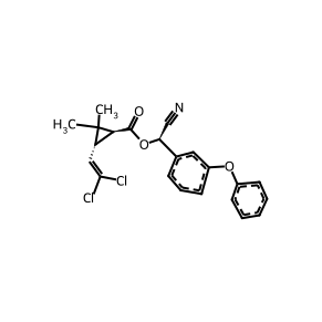 CC1(C)[C@@H](C=C(Cl)Cl)[C@@H]1C(=O)O[C@@H](C#N)c1cccc(Oc2ccccc2)c1